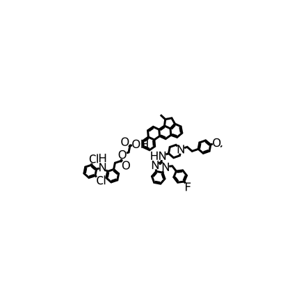 CC1Cc2cccc3cc4c(ccc5ccccc54)c1c23.COc1ccc(CCN2CCC(Nc3nc4ccccc4n3Cc3ccc(F)cc3)CC2)cc1.O=C(O)COC(=O)Cc1ccccc1Nc1c(Cl)cccc1Cl